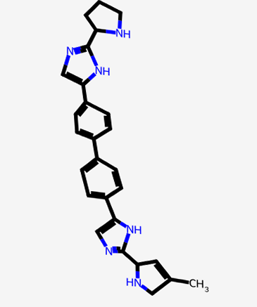 CC1=CC(c2ncc(-c3ccc(-c4ccc(-c5cnc(C6CCCN6)[nH]5)cc4)cc3)[nH]2)NC1